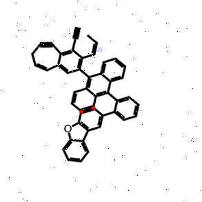 C#Cc1c2c(cc(-c3c4c(c(-c5ccccc5-c5c#cc6oc7ccccc7c6c5)c5ccccc35)CCC=C4)c1/C=C\C)C=CCC#C2